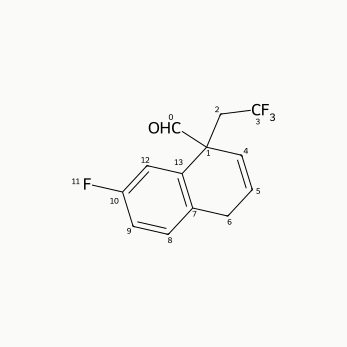 O=CC1(CC(F)(F)F)C=CCc2ccc(F)cc21